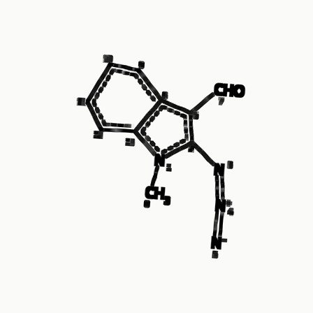 Cn1c(N=[N+]=[N-])c(C=O)c2ccccc21